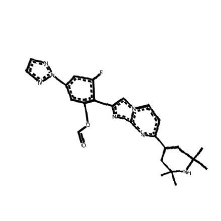 CC1(C)CC(c2ccn3cc(-c4c(F)cc(-n5nccn5)cc4OC=O)nc3n2)CC(C)(C)N1